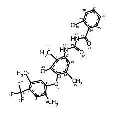 Cc1cc(C(F)(F)F)c(C)cc1Oc1c(C)cc(NC(=O)NC(=O)c2ccccc2Cl)c(C)c1Cl